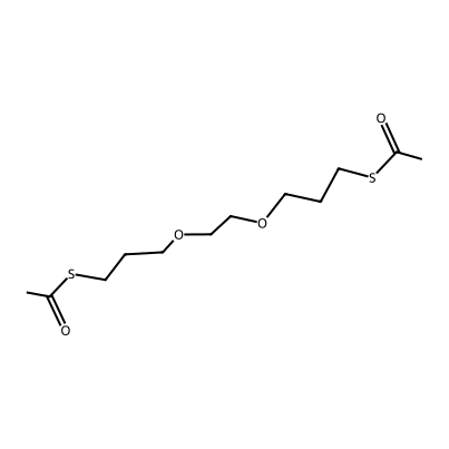 CC(=O)SCCCOCCOCCCSC(C)=O